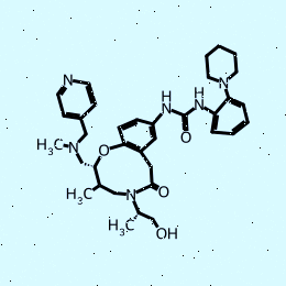 CC1CN([C@@H](C)CO)C(=O)Cc2cc(NC(=O)Nc3ccccc3N3CCCCC3)ccc2O[C@H]1CN(C)Cc1ccncc1